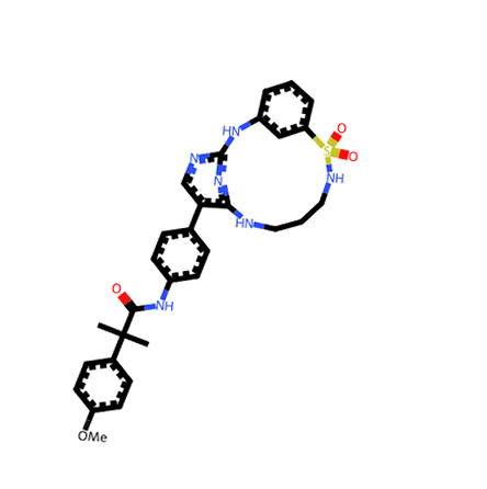 COc1ccc(C(C)(C)C(=O)Nc2ccc(-c3cnc4nc3NCCCNS(=O)(=O)c3cccc(c3)N4)cc2)cc1